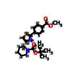 COC(=O)c1ccc(-c2nc([C@H]3CCCCN3C(=O)OC(C)(C)C)cs2)cc1